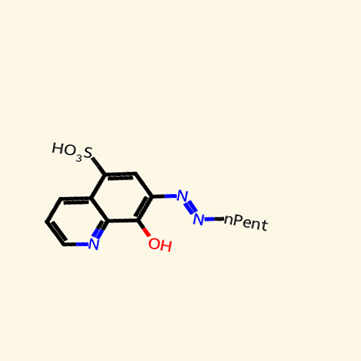 CCCCCN=Nc1cc(S(=O)(=O)O)c2cccnc2c1O